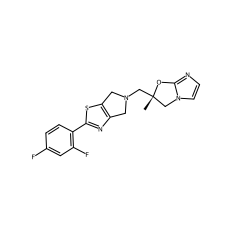 C[C@]1(CN2Cc3nc(-c4ccc(F)cc4F)sc3C2)Cn2ccnc2O1